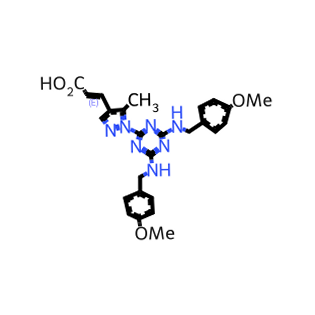 COc1ccc(CNc2nc(NCc3ccc(OC)cc3)nc(-n3ncc(/C=C/C(=O)O)c3C)n2)cc1